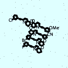 COc1cccc(C#Cc2ccc3c(n2)CCCC3=O)c1.N#Cc1cccc(C#Cc2ccc3c(n2)CCCC3=O)c1.O=C1CCCc2nc(C#Cc3cccc(Br)c3)ccc21.O=C1CCCc2nc(C#Cc3cccc(Cl)c3)ccc21.O=C1CCCc2nc(C#Cc3cccc(F)c3)ccc21